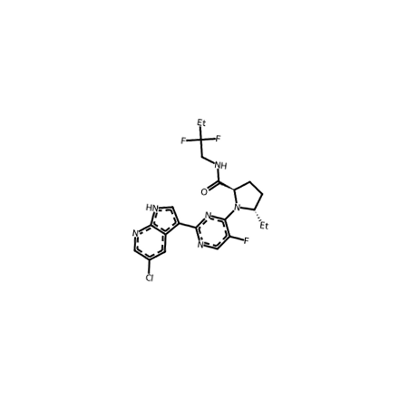 CC[C@H]1CC[C@H](C(=O)NCC(F)(F)CC)N1c1nc(-c2c[nH]c3ncc(Cl)cc23)ncc1F